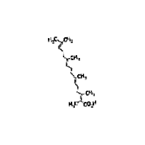 CC(C)=CCC/C(C)=C/CC/C(C)=C/CC/C(C)=C(\C)C(=O)O